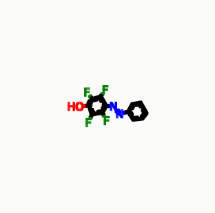 Oc1c(F)c(F)c(N=Nc2ccccc2)c(F)c1F